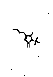 CCCCC1=CNC(C(C)(C)C)C1C